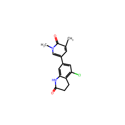 Cc1cc(-c2cc(Cl)c3c(c2)NC(=O)CC3)cn(C)c1=O